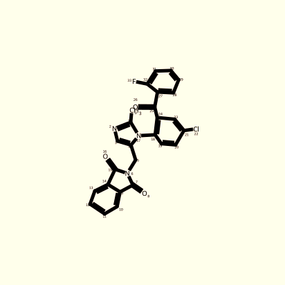 Cc1ncc(CN2C(=O)c3ccccc3C2=O)n1-c1ccc(Cl)cc1C(=O)c1ccccc1F